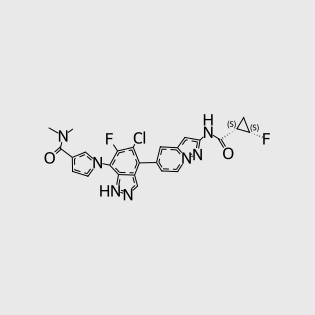 CN(C)C(=O)c1ccn(-c2c(F)c(Cl)c(-c3ccn4nc(NC(=O)[C@@H]5C[C@@H]5F)cc4c3)c3cn[nH]c23)c1